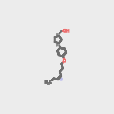 CC/C=C\CCCOc1ccc([C@@H]2CC[C@H](CO)C2)cc1